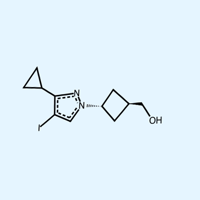 OC[C@H]1C[C@H](n2cc(I)c(C3CC3)n2)C1